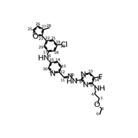 CCOCCNc1nc(N/N=C/c2ccc(Nc3cc(Cl)cc(-c4occc4C)c3)cn2)ncc1F